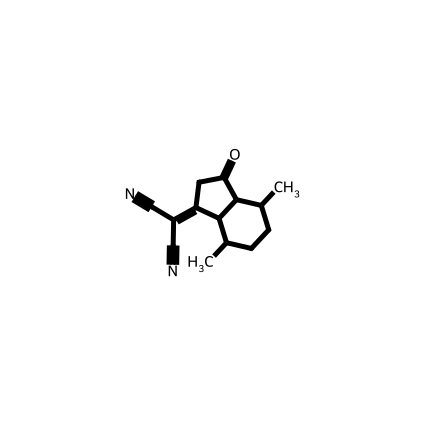 CC1CCC(C)C2C(=C(C#N)C#N)CC(=O)C12